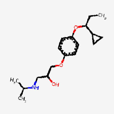 CCC(Oc1ccc(OCC(O)CNC(C)C)cc1)C1CC1